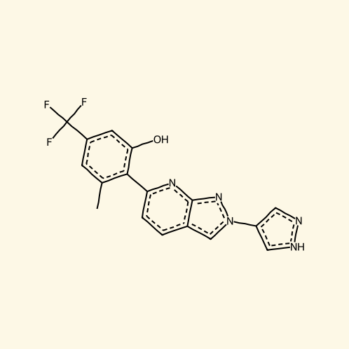 Cc1cc(C(F)(F)F)cc(O)c1-c1ccc2cn(-c3cn[nH]c3)nc2n1